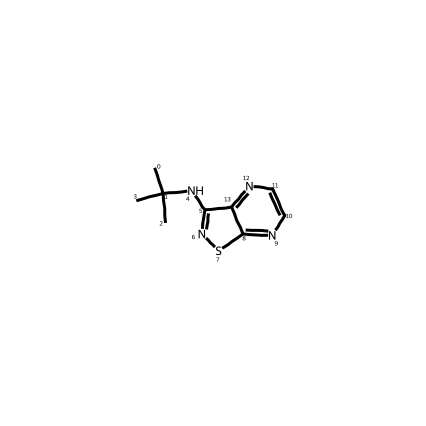 CC(C)(C)Nc1nsc2nccnc12